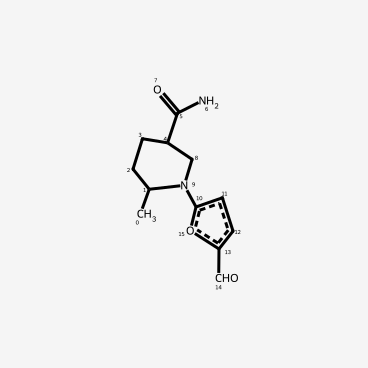 CC1CCC(C(N)=O)CN1c1ccc(C=O)o1